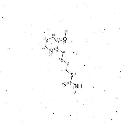 CNC(=S)SCCSCc1ncccc1OC